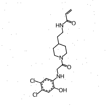 C=CC(=O)NCCC1CCN(C(=O)CNc2cc(Cl)c(Cl)cc2O)CC1